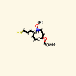 CCON1CCC(OCOC)CCC[SiH]1CCCS